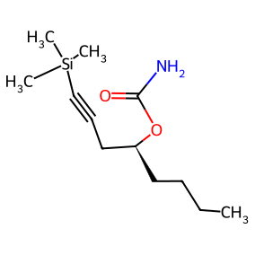 CCCC[C@@H](CC#C[Si](C)(C)C)OC(N)=O